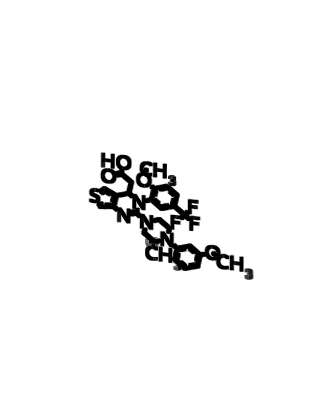 COc1cccc(N2CCN(C3=Nc4cscc4C(CC(=O)O)N3c3cc(C(F)(F)F)ccc3OC)C[C@H]2C)c1